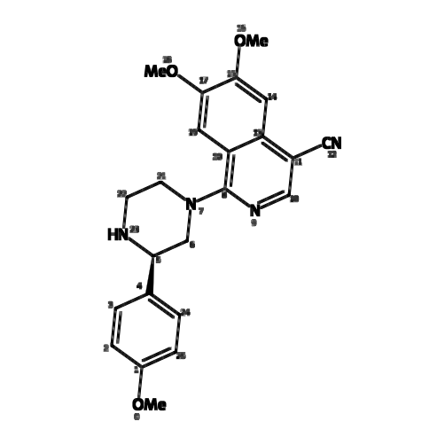 COc1ccc([C@@H]2CN(c3ncc(C#N)c4cc(OC)c(OC)cc34)CCN2)cc1